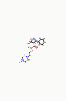 CN1CCN(CCCC2CCc3onc(-c4ccccc4)c3C2=O)CC1